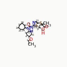 CCOC1CCC(N(C(=O)Nc2ncc(SC(C)(C)C(=O)O)s2)C2CCCCCC2)CC1